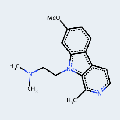 COc1ccc2c3ccnc(C)c3n(CCN(C)C)c2c1